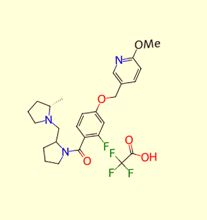 COc1ccc(COc2ccc(C(=O)N3CCCC3CN3CCC[C@@H]3C)c(F)c2)cn1.O=C(O)C(F)(F)F